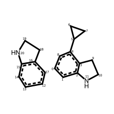 c1cc2c(c(C3CC3)c1)CCN2.c1ccc2c(c1)CCN2